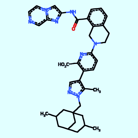 Cc1c(-c2ccc(N3CCc4cccc(C(=O)Nc5cn6ccncc6n5)c4C3)nc2C(=O)O)cnn1CC12CC(C)CC(CC(C)C1)C2